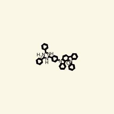 CC12c3c(n(-c4ccc(C(NCc5ccccc5)NC(N)c5ccccc5)cc4)c4ccccc34)C=CC1c1ccccc1N2c1ccccc1